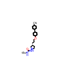 CC(C)(C)NC(=O)NN1CC[C@@H](CCCOc2ccc(-c3ccc(C#N)cc3)cc2)C1